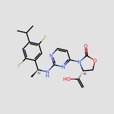 C=C(O)[C@H]1COC(=O)N1c1ccnc(N[C@@H](C)c2cc(F)c(C(C)C)cc2F)n1